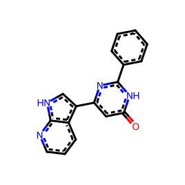 O=c1cc(-c2c[nH]c3ncccc23)nc(-c2ccccc2)[nH]1